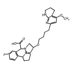 COc1cc(CCCCOC2CCN(C(C(=O)O)c3cc(F)ccc3C3CCCO3)C2)nc2c1CCCN2